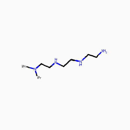 CC(C)N(CCNCCNCCN)C(C)C